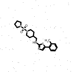 Cc1[c]cccc1-c1cnc(NCC2CCN(S(=O)(=O)N3CCCC3)CC2)s1